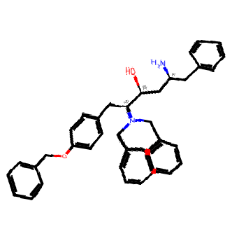 N[C@@H](Cc1ccccc1)C[C@H](O)[C@H](Cc1ccc(OCc2ccccc2)cc1)N(Cc1ccccc1)Cc1ccccc1